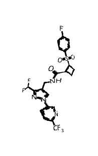 O=C(NCc1cn(-c2ccc(C(F)(F)F)nc2)nc1C(F)F)[C@@H]1CC[C@@H]1S(=O)(=O)c1ccc(F)cc1